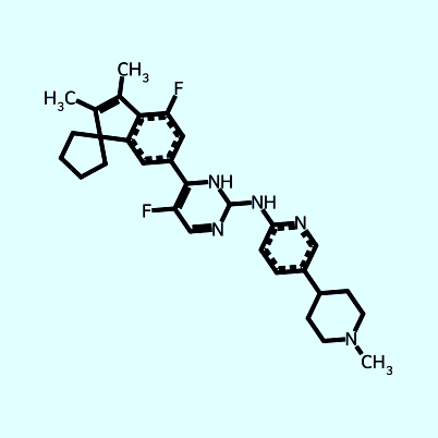 CC1=C(C)C2(CCCC2)c2cc(C3=C(F)C=NC(Nc4ccc(C5CCN(C)CC5)cn4)N3)cc(F)c21